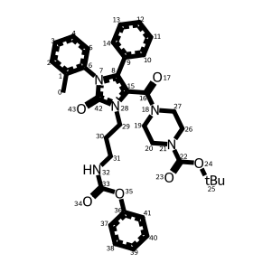 Cc1ccccc1-n1c(-c2ccccc2)c(C(=O)N2CCN(C(=O)OC(C)(C)C)CC2)n(CCCNC(=O)Oc2ccccc2)c1=O